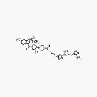 CCc1cc2c(cc1N1CCN(C(=O)CCCCCn3cc([C@@H](N)CCCn4ccnc4N)nn3)CC1)C(C)(C)c1[nH]c3cc(C#N)ccc3c1C2=O